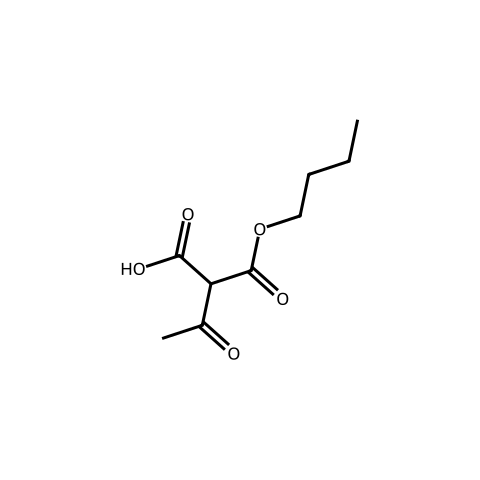 CCCCOC(=O)C(C(C)=O)C(=O)O